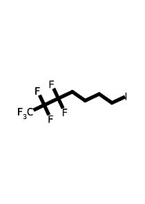 FC(F)(F)C(F)(F)C(F)(F)CCCCI